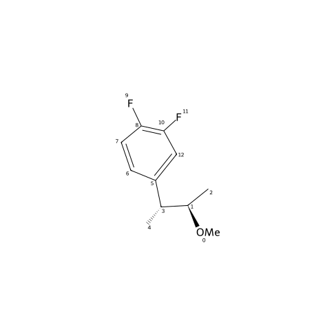 CO[C@H](C)[C@H](C)c1ccc(F)c(F)c1